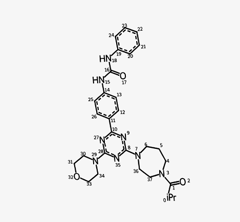 CC(C)C(=O)N1CCCN(c2nc(-c3ccc(NC(=O)Nc4ccccc4)cc3)nc(N3CCOCC3)n2)CC1